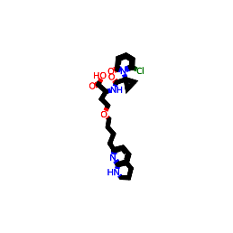 O=C(O)C(CCOCCCCc1ccc2c(n1)NCCC2)NC(=O)C1(n2c(Cl)cccc2=O)CC1